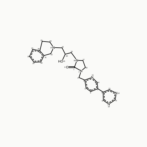 O=C1N(Cc2ccc(-c3cncnc3)cn2)CCN1CC(O)CN1CCc2ccccc2C1